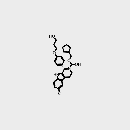 OCCCOc1ccc([C@H]2c3[nH]c4ccc(Cl)cc4c3CCN2C(O)OCC2CCCC2)cc1